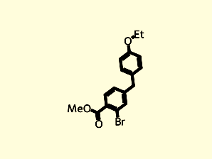 CCOc1ccc(Cc2ccc(C(=O)OC)c(Br)c2)cc1